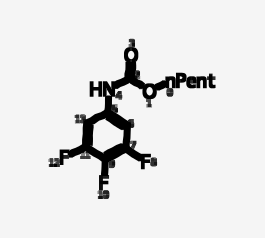 [CH2]CCCCOC(=O)Nc1cc(F)c(F)c(F)c1